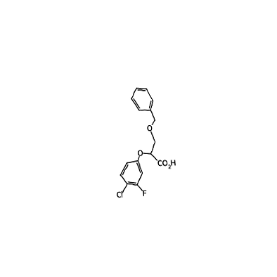 O=C(O)C(COCc1ccccc1)Oc1ccc(Cl)c(F)c1